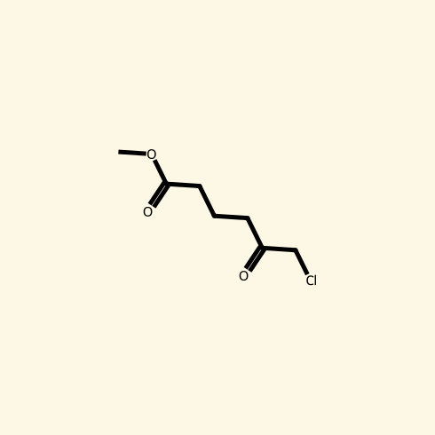 COC(=O)CCCC(=O)CCl